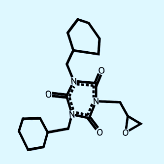 O=c1n(CC2CCCCC2)c(=O)n(CC2CO2)c(=O)n1CC1CCCCC1